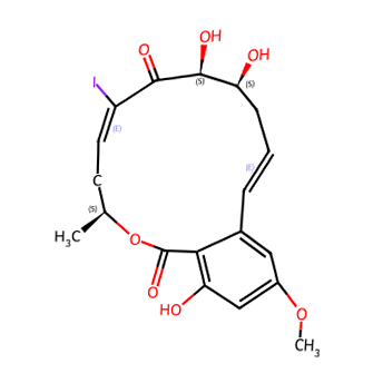 COc1cc(O)c2c(c1)/C=C/C[C@H](O)[C@H](O)C(=O)/C(I)=C\C[C@H](C)OC2=O